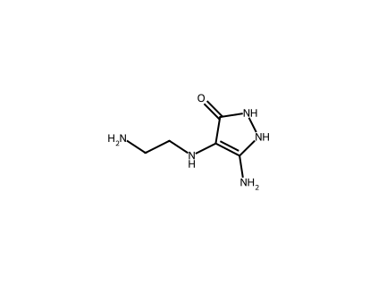 NCCNc1c(N)[nH][nH]c1=O